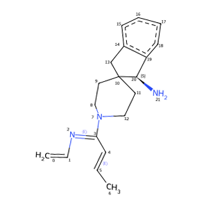 C=C/N=C(\C=C\C)N1CCC2(CC1)Cc1ccccc1[C@H]2N